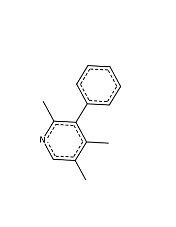 Cc1cnc(C)c(-c2ccccc2)c1C